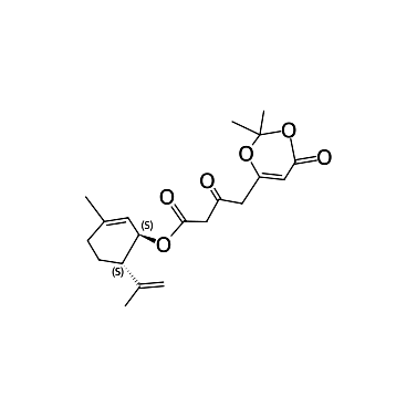 C=C(C)[C@@H]1CCC(C)=C[C@H]1OC(=O)CC(=O)CC1=CC(=O)OC(C)(C)O1